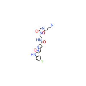 Cc1c(C(=O)NCCNC(=O)[C@H](C)N(C)C(=O)/C=C/CN(C)C)c[nH]c1/C=C1\C(=O)Nc2ccc(F)cc21